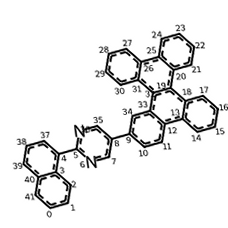 c1ccc2c(-c3ncc(-c4ccc5c6ccccc6c6c7ccccc7c7ccccc7c6c5c4)cn3)cccc2c1